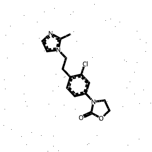 Cc1nccn1CCc1ccc(N2CCOC2=O)cc1Cl